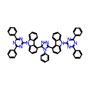 c1ccc(-c2nc(-c3ccccc3)nc(-n3c4ccccc4c4c(-c5nnc(-c6cccc7c6c6ccccc6n7-c6nc(-c7ccccc7)nc(-c7ccccc7)n6)n5-c5ccccc5)cccc43)n2)cc1